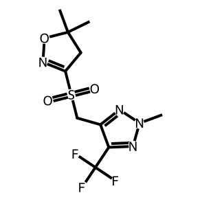 Cn1nc(CS(=O)(=O)C2=NOC(C)(C)C2)c(C(F)(F)F)n1